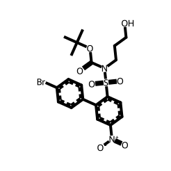 CC(C)(C)OC(=O)N(CCCO)S(=O)(=O)c1ccc([N+](=O)[O-])cc1-c1ccc(Br)cc1